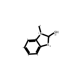 CN1c2cc[c]cc2SC1S